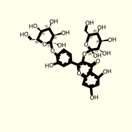 O=c1c(O[C@]2(O)O[C@@H](CO)[C@H](O)[C@@H](O)[C@@H]2O)c(-c2ccc(O[C@@]3(O)O[C@H](CO)[C@@H](O)[C@H](O)[C@H]3O)c(O)c2)oc2cc(O)cc(O)c12